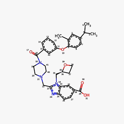 Cc1cc(C(C)C)ccc1Oc1cccc(C(=O)N2CCN(Cc3nc4ccc(C(=O)O)cc4n3C[C@@H]3CCO3)CC2)c1